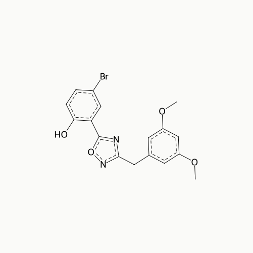 COc1cc(Cc2noc(-c3cc(Br)ccc3O)n2)cc(OC)c1